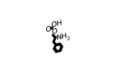 N[C@@H](COC(=O)O)Cc1ccccc1